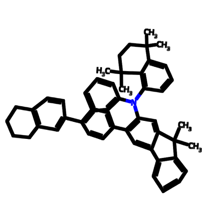 CC1(C)CCC(C)(C)c2c(N(c3ccccc3)c3cc4c(cc3-c3ccc(-c5ccc6c(c5)CCCC6)cc3)-c3ccccc3C4(C)C)cccc21